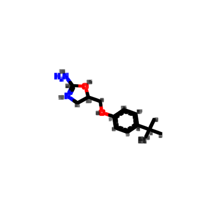 CCC(C)(C)c1ccc(OCC2CN=C(N)O2)cc1